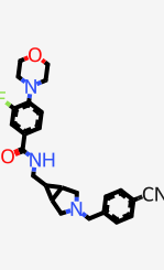 N#Cc1ccc(CN2CC3C(CNC(=O)c4ccc(N5CCOCC5)c(F)c4)C3C2)cc1